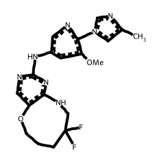 COc1cc(Nc2ncc3c(n2)NCC(F)(F)CCCO3)cnc1-n1cnc(C)c1